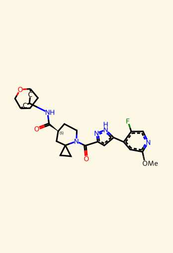 COc1cc(-c2cc(C(=O)N3CC[C@H](C(=O)NC4CC5CCC(C4)OC5)CC34CC4)n[nH]2)c(F)cn1